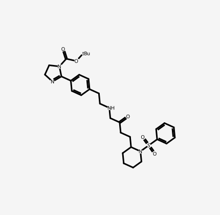 CC(C)(C)OC(=O)N1CCN=C1c1ccc(CCNCC(=O)CCC2CCCCN2S(=O)(=O)c2ccccc2)cc1